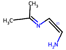 CC(C)=N/C=C\N